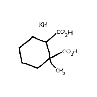 CC1(C(=O)O)CCCCC1C(=O)O.[KH]